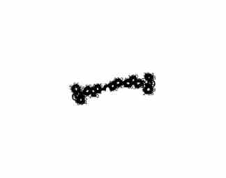 CC1(C)c2cc(/C=C/c3ccc4cc(-c5ccc6c(ccc7cc(N8c9ccccc9Oc9ccccc98)ccc76)c5)ccc4c3)ccc2-c2ccc(N3c4ccccc4Oc4ccccc43)cc21